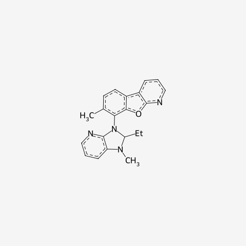 CCC1N(C)c2cccnc2N1c1c(C)ccc2c1oc1ncccc12